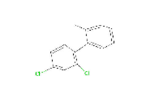 Cc1ccccc1-c1ccc(Cl)cc1Cl